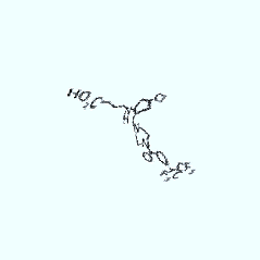 O=C(O)CCCNc1cc(Cl)ccc1CN1CCN(C(=O)OC(C(F)(F)F)C(F)(F)F)CC1